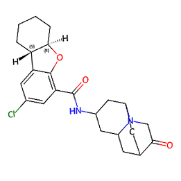 O=C(NC1CC2CC3CC(C1)N2CC3=O)c1cc(Cl)cc2c1O[C@@H]1CCCC[C@@H]21